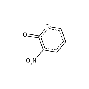 O=c1occcc1[N+](=O)[O-]